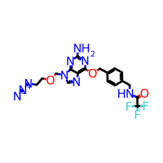 [N-]=[N+]=NCCOCn1cnc2c(OCc3ccc(CNC(=O)C(F)(F)F)cc3)nc(N)nc21